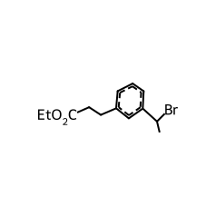 CCOC(=O)CCc1cccc(C(C)Br)c1